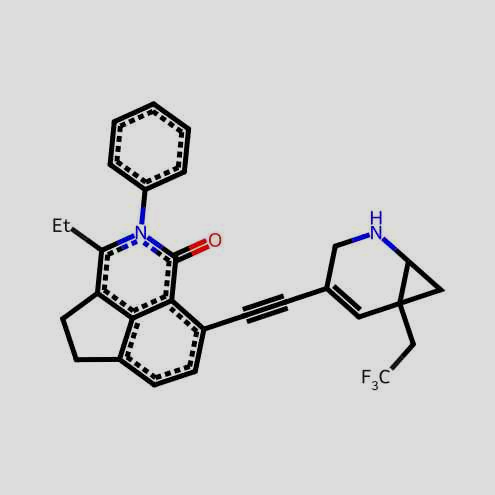 CCc1c2c3c(ccc(C#CC4=CC5(CC(F)(F)F)CC5NC4)c3c(=O)n1-c1ccccc1)CC2